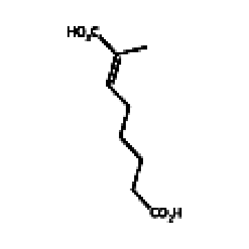 CC(=CCCCCC(=O)O)C(=O)O